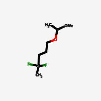 COB(C)OCCC[Si](C)(F)F